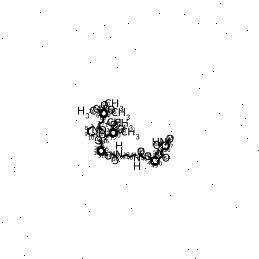 CC[C@H](CC(=O)N1CCCC[C@H]1C(=O)O[C@H](CCc1ccc(OC)c(OC)c1)c1cccc(OCC(=O)NCCCCNC(=O)COc2cccc3c2CN(C2CCC(=O)NC2=O)C3=O)c1)c1cc(OC)c(OC)c(OC)c1